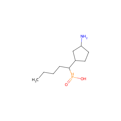 CCCCC(C1CCC(N)C1)[PH](=O)O